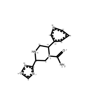 NC(=O)N1CC(c2ncon2)NCC1c1cccnc1